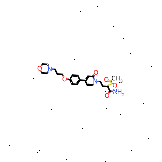 CS(=O)(=O)C(CCn1ccc(-c2ccc(OCCCN3CCOCC3)cc2)cc1=O)C(N)=O